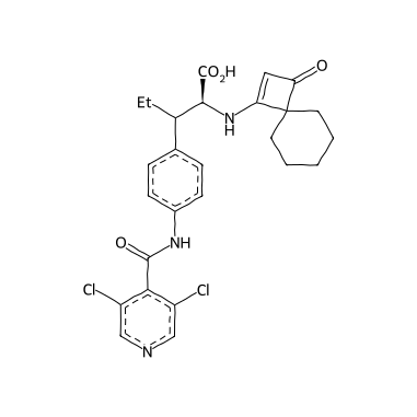 CCC(c1ccc(NC(=O)c2c(Cl)cncc2Cl)cc1)[C@H](NC1=CC(=O)C12CCCCC2)C(=O)O